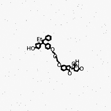 CCC(=C(c1ccc(O)cc1)c1ccc(OCCOCCCOc2ccc3c(c2)CN(C2CCC(=O)NC2=O)C3=O)cc1)c1ccccc1